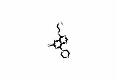 CCCSc1ncnc2c(N3CCOCC3)nc(Cl)nc12